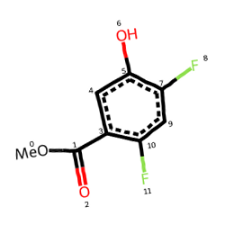 COC(=O)c1cc(O)c(F)cc1F